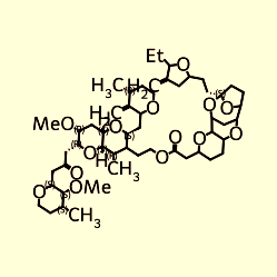 C=C1CC(CC[C@]23CCC(O2)C2CC(O3)C3OC(CC(=O)OCCC4[C@H](CC5OCC[C@@H](C)C5=C)O[C@H]5C[C@@H](OC)[C@@H](CC(=O)C[C@@H]6OCC[C@H](C)[C@@H]6OC)O[C@H]5[C@@H]4C)CCC3O2)OC1CC